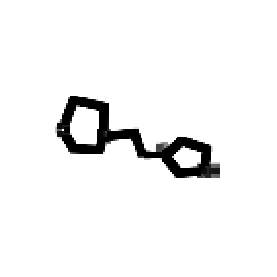 C1C[C@@H](CCN2CCOCC2)CN1